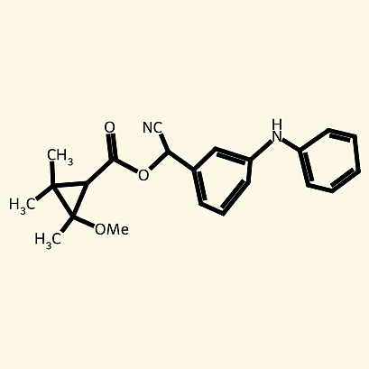 COC1(C)C(C(=O)OC(C#N)c2cccc(Nc3ccccc3)c2)C1(C)C